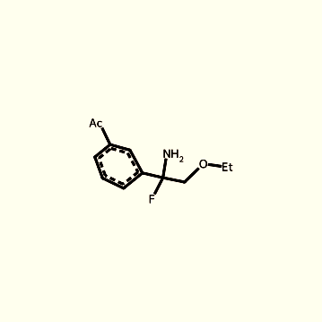 CCOCC(N)(F)c1cccc(C(C)=O)c1